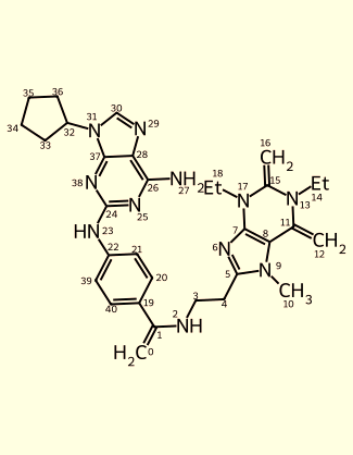 C=C(NCCc1nc2c(n1C)C(=C)N(CC)C(=C)N2CC)c1ccc(Nc2nc(N)c3ncn(C4CCCC4)c3n2)cc1